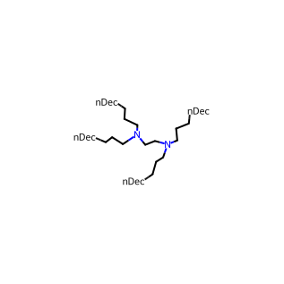 CCCCCCCCCCCCCN(CCCCCCCCCCCCC)CCN(CCCCCCCCCCCCC)CCCCCCCCCCCCC